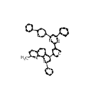 Cc1ccc2ccc3c(-c4cccc(-c5nc(-c6ccccc6)cc(-c6ccc(-c7ccccc7)cc6)n5)c4)cc(-c4ccccc4)nc3c2n1